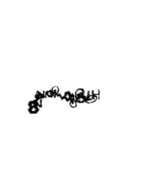 O=C1CCC(N2Cc3ccc(CCCC(=O)N4CCC(n5cc(-c6ccc7ccccc7n6)cn5)CC4)cc3C2=O)C(=O)N1